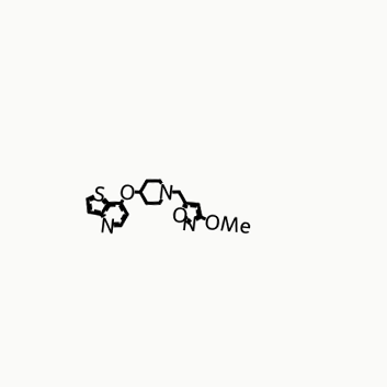 COc1cc(CN2CCC(Oc3ccnc4ccsc34)CC2)on1